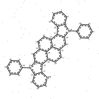 c1ccc(-n2c3cccnc3c3c4ccc5cc6c(c7ccc(cc32)c4c57)c2ncccc2n6-c2ccccc2)cc1